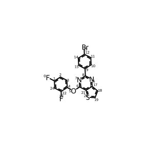 Fc1ccc(Oc2nc(-c3ccc(Br)cc3)nc3ccsc23)c(F)c1